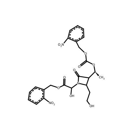 C[C@H](OC(=O)OCc1ccccc1[N+](=O)[O-])C1C(=O)N(C(O)C(=O)OCc2ccccc2[N+](=O)[O-])C1CCO